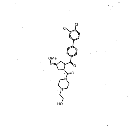 CON=C1CC(C(=O)N2CCN(CCO)CC2)N(C(=O)c2ccc(-c3ccc(Cl)c(Cl)c3)cc2)C1